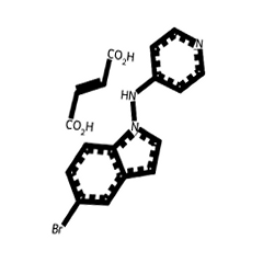 Brc1ccc2c(ccn2Nc2ccncc2)c1.O=C(O)C=CC(=O)O